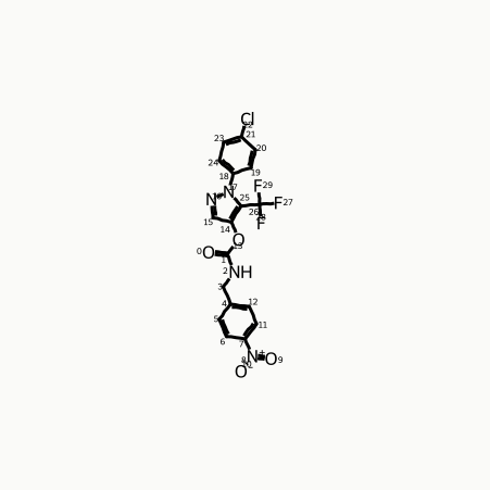 O=C(NCc1ccc([N+](=O)[O-])cc1)Oc1cnn(-c2ccc(Cl)cc2)c1C(F)(F)F